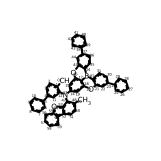 Cc1ccc(-c2ccccc2)cc1N(c1cc2c3c(c1)Oc1cc(-c4ccccc4)ccc1B3c1ccc(-c3ccccc3)cc1O2)c1c(C)ccc2c1oc1ccccc12